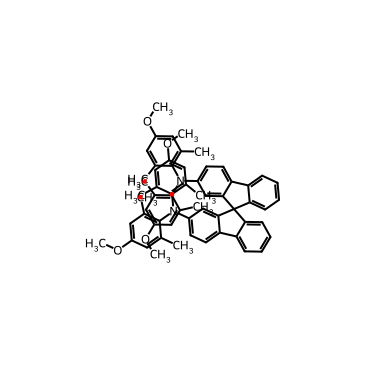 COc1cc(C)c(N(c2ccc3c(c2)C2(c4ccccc4-3)c3ccccc3-c3ccc(N(c4c(C)cc(OC)cc4C)c4c(C)cc(OC)cc4C)cc32)c2c(C)cc(OC)cc2C)c(C)c1